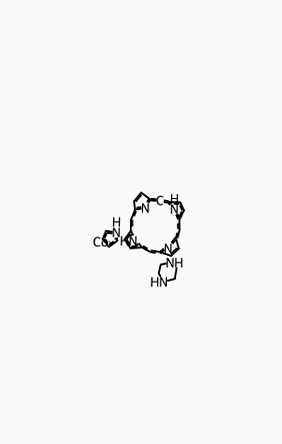 C1=Cc2cc3ccc(cc4nc(cc5ccc(cc1n2)[nH]5)C=C4)[nH]3.C1CNCCN1.[Co].c1cc[nH]c1